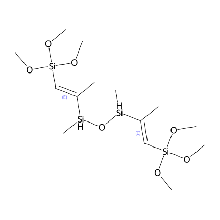 CO[Si](/C=C(\C)[SiH](C)O[SiH](C)/C(C)=C/[Si](OC)(OC)OC)(OC)OC